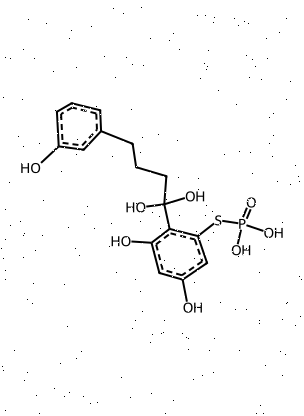 O=P(O)(O)Sc1cc(O)cc(O)c1C(O)(O)CCCc1cccc(O)c1